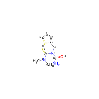 CN(C)C(=S)N(Cc1cccs1)C(N)=O